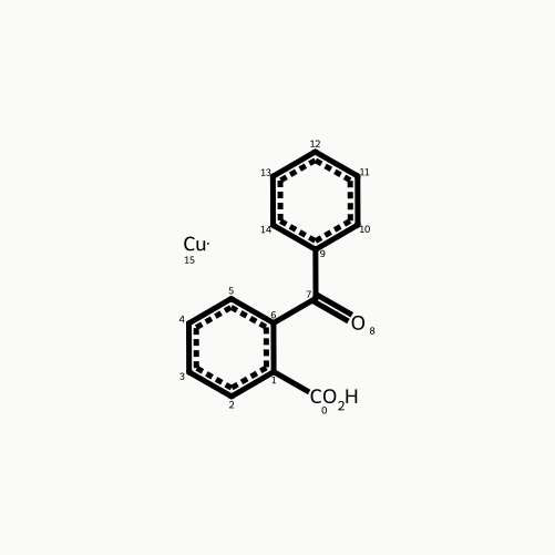 O=C(O)c1ccccc1C(=O)c1ccccc1.[Cu]